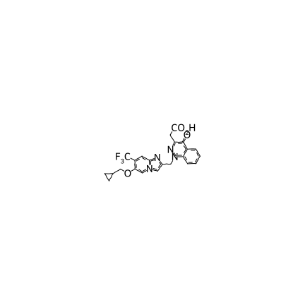 O=C(O)Cc1nn(Cc2cn3cc(OCC4CC4)c(C(F)(F)F)cc3n2)c2ccccc2c1=O